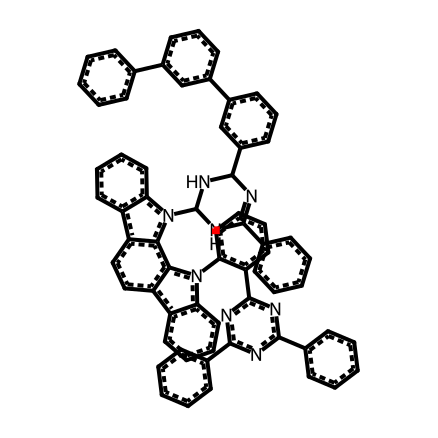 c1ccc(C2=NC(c3cccc(-c4cccc(-c5ccccc5)c4)c3)NC(n3c4ccccc4c4ccc5c6ccccc6n(-c6ccccc6-c6nc(-c7ccccc7)nc(-c7ccccc7)n6)c5c43)N2)cc1